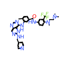 Cc1ccc(C(=O)Nc2ccc(N(C)CCN(C)C)c(C(F)(F)F)c2)cc1Nc1ncnc2cnc(NCc3ccncc3)nc12